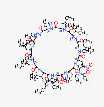 C/C=C/C[C@@H](C)[C@@H](O)[C@H]1C(=O)N[C@@H](CC)C(=O)N(C)[C@H](CC(CN(C)C)[N+](=O)[O-])C(=O)N(C)[C@@H](C(C)C)C(=O)N[C@@H](C(C)C)C(=O)N(C)[C@@H](CC(C)C)C(=O)N[C@@H](C)C(=O)N[C@H](C)C(=O)N(C)[C@@H](CC(C)C)C(=O)N(C)[C@@H](CC(C)C)C(=O)N(C)[C@@H](C(C)C)C(=O)N1C